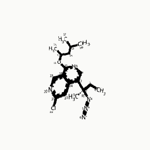 CC[C@@](C)(N=[N+]=[N-])c1cnc(OC(C)C[C](C)C)c2cnc(Cl)cc12